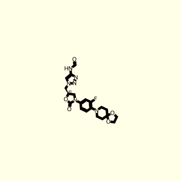 O=CNc1cn(C[C@H]2CN(c3ccc(N4CCC5(CC4)OCCO5)c(F)c3)C(=O)O2)nn1